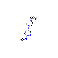 O=C(O)N1CCN(c2ccc(N=C=S)nc2)CC1